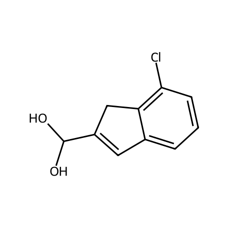 OC(O)C1=Cc2cccc(Cl)c2C1